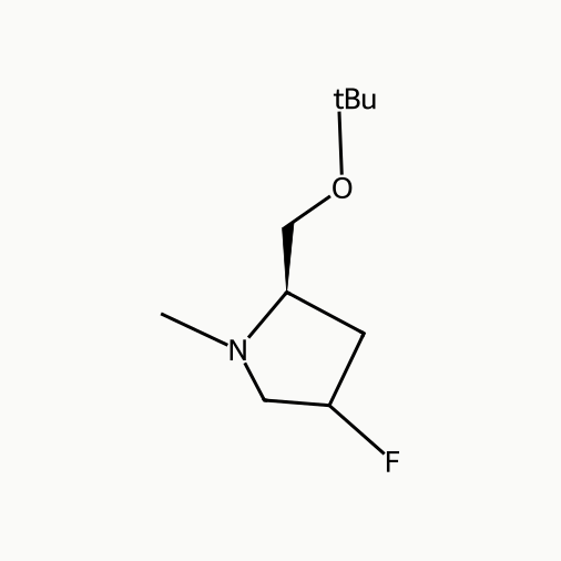 CN1CC(F)C[C@@H]1COC(C)(C)C